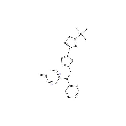 C=N/C=C\C(=C/C)N(Cc1ccc(-c2noc(C(F)(F)F)n2)s1)c1cnccn1